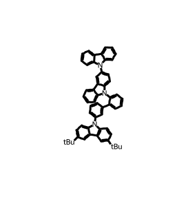 CC(C)(C)c1ccc2c(c1)c1cc(C(C)(C)C)ccc1n2-c1cccc(-c2ccccc2-n2c3ccccc3c3cc(-n4c5ccccc5c5ccccc54)ccc32)c1